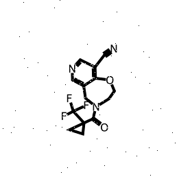 N#Cc1cncc2c1OCCN(C(=O)C1(C(F)(F)F)CC1)C2